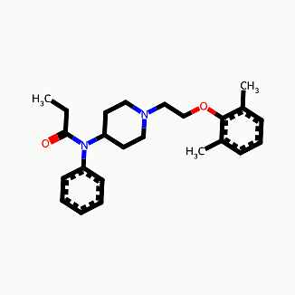 CCC(=O)N(c1ccccc1)C1CCN(CCOc2c(C)cccc2C)CC1